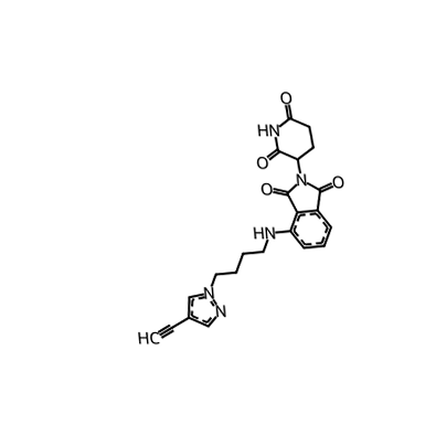 C#Cc1cnn(CCCCNc2cccc3c2C(=O)N(C2CCC(=O)NC2=O)C3=O)c1